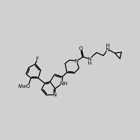 COc1ccc(F)cc1-c1ccnc2[nH]c(C3=CCN(C(=O)NCCNC4CC4)CC3)cc12